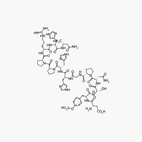 N=C(N)NCCC[C@H](NC(=O)[C@@H]1CCCN1C(=O)[C@@H]1CCCN1C(=O)[C@H](Cc1c[nH]cn1)NC(=O)[C@H](Cc1c[nH]cn1)NC(=O)CNC(=O)[C@@H]1CCCN1C(=O)[C@H](CC(N)=O)NC(=O)[C@H](CO)NC(=O)[C@H](Cc1ccc(OS(=O)(=O)O)cc1)NC(=O)[C@@H](N)CC(=O)O)C(=O)N[C@@H](Cc1c[nH]cn1)C(=O)N[C@@H](CC(N)=O)C(=O)O